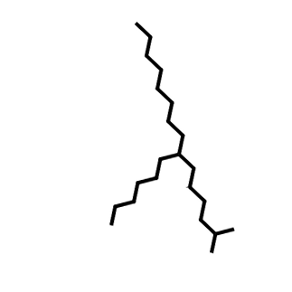 CCCCCCCCC(C[CH]CCC(C)C)CCCCCC